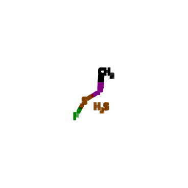 C=PSF.S